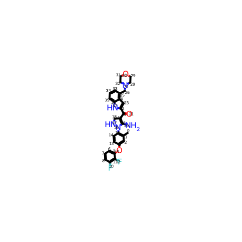 Cc1cc(Oc2cccc(F)c2F)ccc1N1NCC(C(=O)c2cc3c(CN4CCOCC4)cccc3[nH]2)=C1N